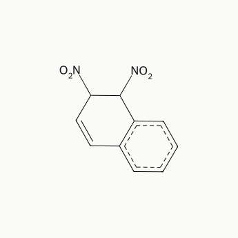 O=[N+]([O-])C1C=Cc2ccccc2C1[N+](=O)[O-]